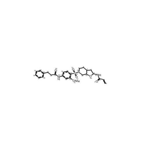 C=CC(=O)NC1CC2CCN(S(=O)(=O)c3ccc(NC(=O)CCc4ccccc4)cc3OC)CC2O1